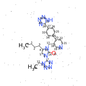 CCCCc1cn(-c2nnnn2CC)c(=O)n1Cc1cnccc1-c1ccc(-c2nnn[nH]2)cc1